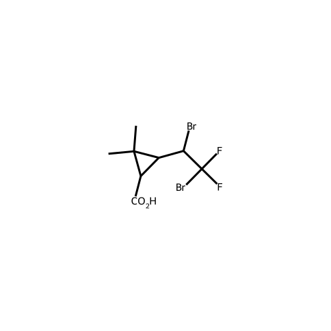 CC1(C)C(C(=O)O)C1C(Br)C(F)(F)Br